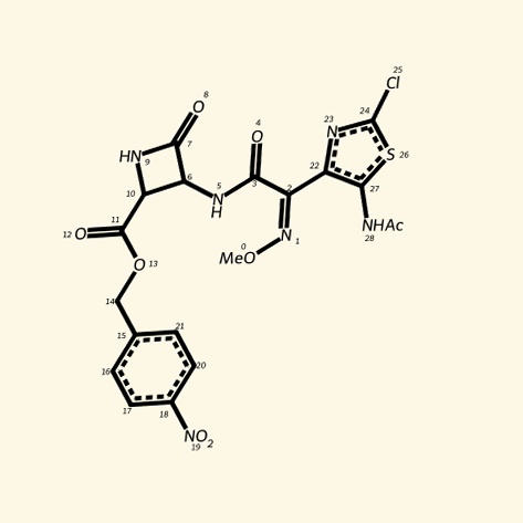 CON=C(C(=O)NC1C(=O)NC1C(=O)OCc1ccc([N+](=O)[O-])cc1)c1nc(Cl)sc1NC(C)=O